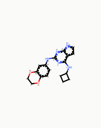 c1cc2c(NC3CCC3)nc(Nc3ccc4c(c3)OCCO4)nc2[nH]1